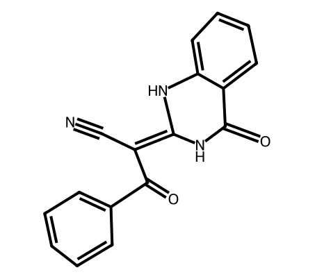 N#CC(C(=O)c1ccccc1)=C1NC(=O)c2ccccc2N1